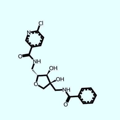 O=C(NC[C@H]1OC[C@@](O)(CNC(=O)c2ccccc2)[C@@H]1O)c1ccc(Cl)nc1